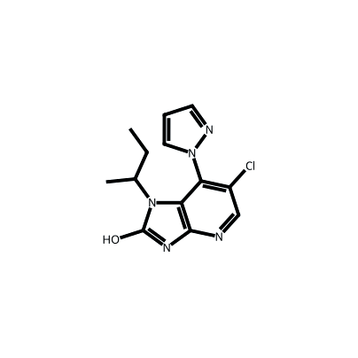 CCC(C)n1c(O)nc2ncc(Cl)c(-n3cccn3)c21